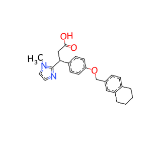 Cn1ccnc1C(CC(=O)O)c1ccc(OCc2ccc3c(c2)CCCC3)cc1